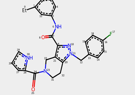 CCc1cccc(NC(=O)c2nn(Cc3ccc(F)cc3)c3c2CN(C(=O)c2ccc[nH]2)CC3)c1